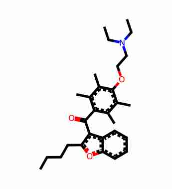 CCCCc1oc2ccccc2c1C(=O)c1c(C)c(C)c(OCCN(CC)CC)c(C)c1C